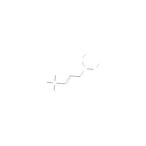 COB(CC=C[Si](C)(C)C)OC